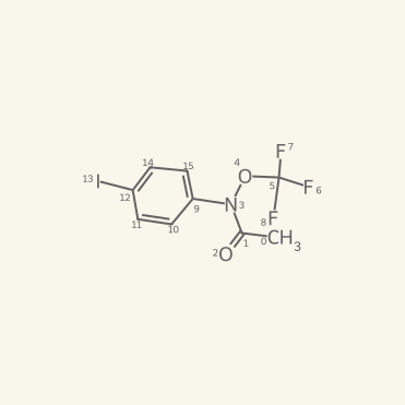 CC(=O)N(OC(F)(F)F)c1ccc(I)cc1